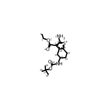 CCOC(=O)c1c(N)sc2c1CC(NC(=O)OC(C)(C)C)CC2